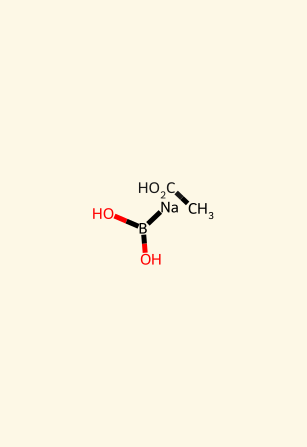 CC(=O)O.O[B](O)[Na]